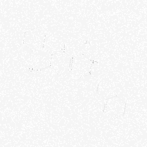 COC(=O)C(NC(=O)[C@@H](NC(=O)OCc1ccccc1)C(C)C)C1CCCCC1